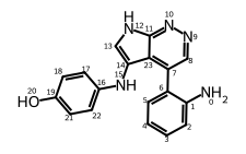 Nc1ccccc1-c1cnnc2[nH]cc(Nc3ccc(O)cc3)c12